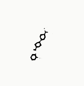 CCCCOC(C)c1ccc(-c2ccc(C(=O)Oc3ccccc3CCCC)cc2)cc1